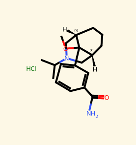 COC1(c2cccc(C(N)=O)c2)[C@@H]2CCC[C@H]1CN(C(C)C)C2.Cl